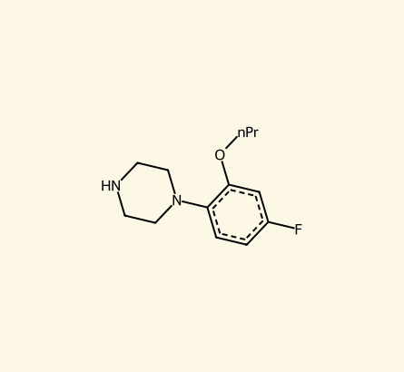 CCCOc1cc(F)ccc1N1CCNCC1